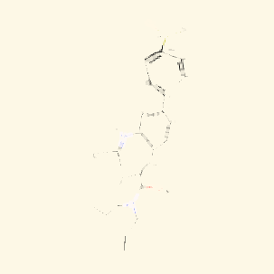 CCCN(CCC)C(=O)C1=Cc2ccc(-c3ccc([S+](C)[O-])cc3)cc2N=C(C)C1